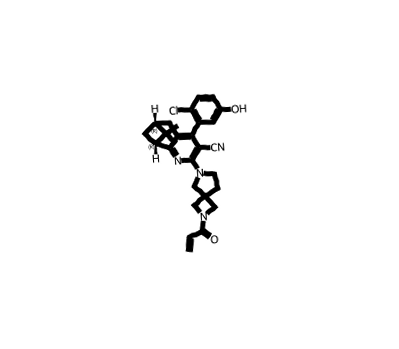 C=CC(=O)N1CC2(CCN(c3nc4c(c(-c5cc(O)ccc5Cl)c3C#N)C[C@H]3C[C@@H]4C3(C)C)C2)C1